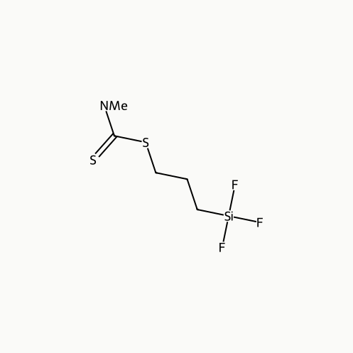 CNC(=S)SCCC[Si](F)(F)F